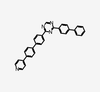 c1ccc(-c2ccc(-c3ncnc(-c4ccc(-c5ccc(-c6ccncc6)cc5)cc4)n3)cc2)cc1